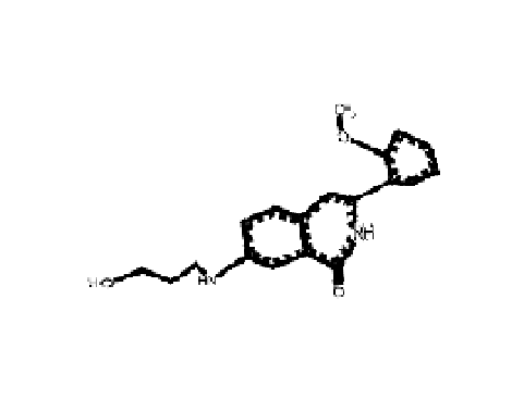 O=c1[nH]c(-c2ccccc2OC(F)(F)F)cc2ccc(NCCCO)cc12